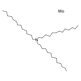 CCCCCCCCCCCCCN(CCCCCCCCCCCCC)CCCCCCCCCCCCC.[Mo]